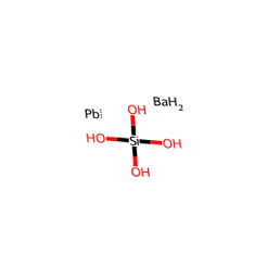 O[Si](O)(O)O.[BaH2].[Pb]